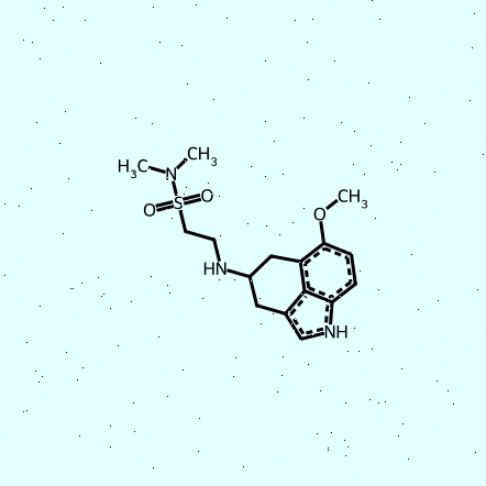 COc1ccc2[nH]cc3c2c1CC(NCCS(=O)(=O)N(C)C)C3